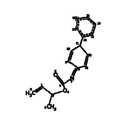 C=CC(C)OC(=O)N=C1C=CC(c2cccnn2)C=C1